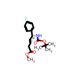 COC(=O)C/C=C/[C@@H](NC(=O)OC(C)(C)C)c1ccc(F)cc1